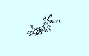 CN(C)c1ccc(NS(=O)(=O)c2cc(F)c(Cl)c(F)c2F)cc1